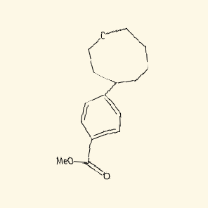 COC(=O)c1ccc(C2CCCCCCC2)cc1